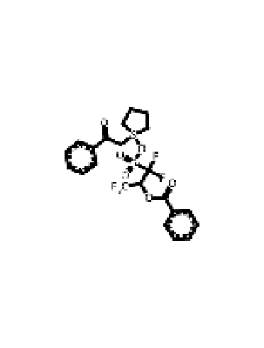 O=C(CS1(OS(=O)(=O)C(F)(F)C(OC(=O)c2ccccc2)C(F)(F)F)CCCC1)c1ccccc1